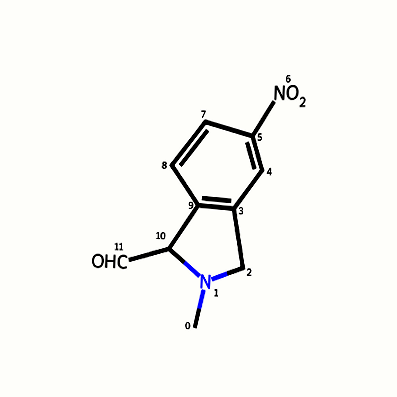 CN1Cc2cc([N+](=O)[O-])ccc2C1C=O